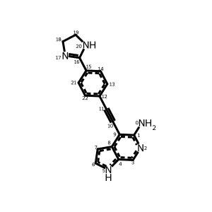 Nc1ncc2[nH]ccc2c1C#Cc1ccc(C2=NCCN2)cc1